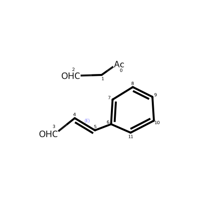 CC(=O)CC=O.O=C/C=C/c1ccccc1